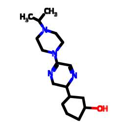 CC(C)N1CCN(C2=NCC(C3CCCC(O)C3)N=C2)CC1